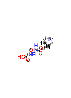 O=C(O)CNC(=O)CNC(=O)OCC1[C@H]2CC/C=C\CC[C@@H]12